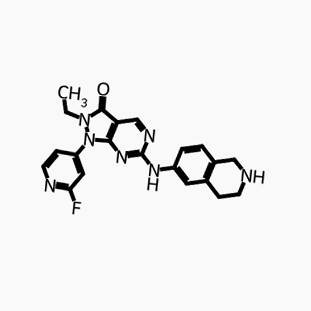 CCn1c(=O)c2cnc(Nc3ccc4c(c3)CCNC4)nc2n1-c1ccnc(F)c1